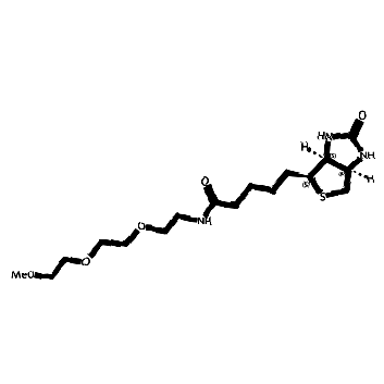 COCCOCCOCCNC(=O)CCCC[C@@H]1SC[C@@H]2NC(=O)N[C@@H]21